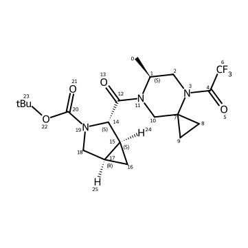 C[C@H]1CN(C(=O)C(F)(F)F)C2(CC2)CN1C(=O)[C@@H]1[C@H]2C[C@H]2CN1C(=O)OC(C)(C)C